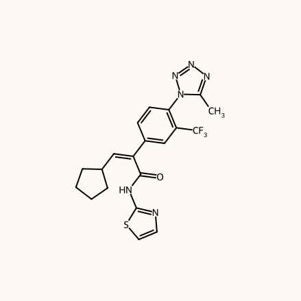 Cc1nnnn1-c1ccc(C(=CC2CCCC2)C(=O)Nc2nccs2)cc1C(F)(F)F